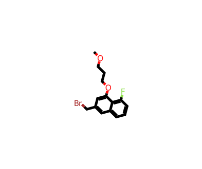 COCCCOc1cc(CBr)cc2cccc(F)c12